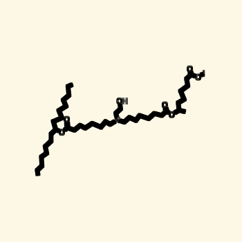 CCCCCCCCC(CCCCCCCC)OC(=O)CCCCCCCN(CCO)CCCCCCCC(=O)OC(C)CCCCCC(=O)OI